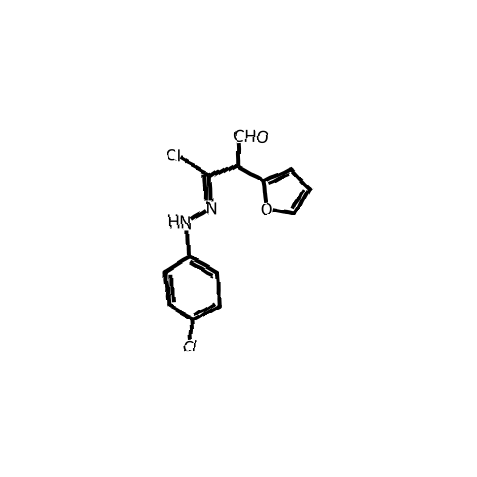 O=CC(C(Cl)=NNc1ccc(Cl)cc1)c1ccco1